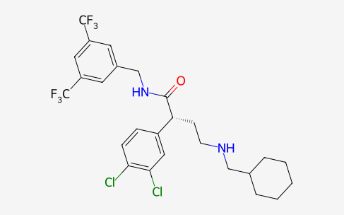 O=C(NCc1cc(C(F)(F)F)cc(C(F)(F)F)c1)[C@H](CCNCC1CCCCC1)c1ccc(Cl)c(Cl)c1